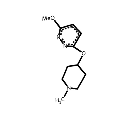 COc1ccc(OC2CCN(C)CC2)nn1